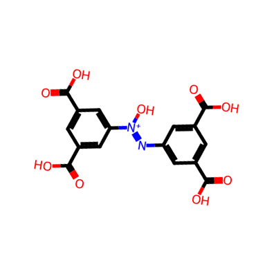 O=C(O)c1cc(/N=[N+](\O)c2cc(C(=O)O)cc(C(=O)O)c2)cc(C(=O)O)c1